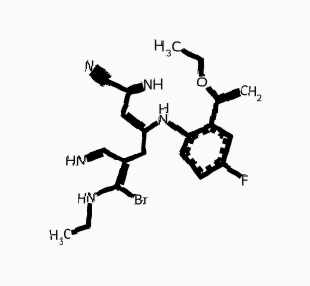 C=C(OCC)c1cc(F)ccc1N/C(=C\C(=N)C#N)C/C(C=N)=C(\Br)NCC